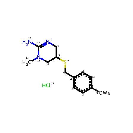 COc1ccc(CSC2CN=C(N)N(C)C2)cc1.Cl